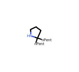 CCCCCC1(CCCCC)CCCN1